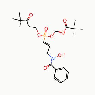 CC(C)(C)C(=O)CCOP(=O)(/C=C/CN(O)C(=O)c1ccccc1)OCOC(=O)C(C)(C)C